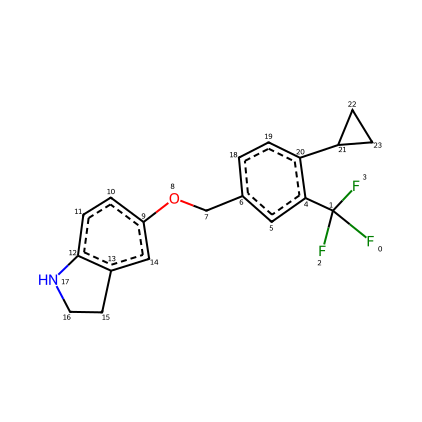 FC(F)(F)c1cc(COc2ccc3c(c2)CCN3)ccc1C1CC1